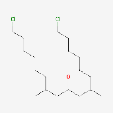 CC(CCCCCCCl)CC(=O)CC(C)CCCCCCCl